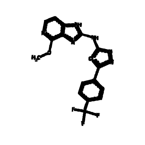 COc1nccc2[nH]c(Nc3nnc(-c4ccc(C(F)(F)F)cc4)o3)nc12